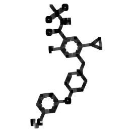 CS(=O)(=O)NC(=O)c1cc(C2CC2)c(CN2C=CC(Oc3cccc(C(F)(F)F)c3)=CC2)cc1F